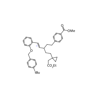 CCOC(=O)CC1(CCC(/C=C/c2ccccc2OCc2ccc(C(C)(C)C)cc2)CCc2ccc(C(=O)OC)cc2)CC1